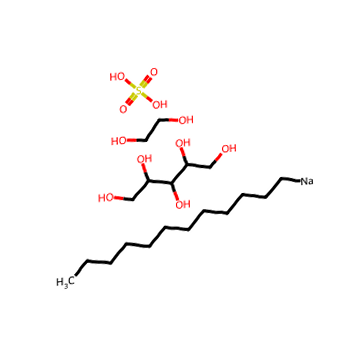 CCCCCCCCCCC[CH2][Na].O=S(=O)(O)O.OCC(O)C(O)C(O)CO.OCCO